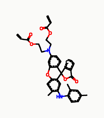 C=CC(=O)OCCN(CCOC(=O)C=C)c1ccc2c(c1)Oc1cc(C)c(Nc3ccc(C)cc3C)cc1C21OC(=O)c2ccccc21